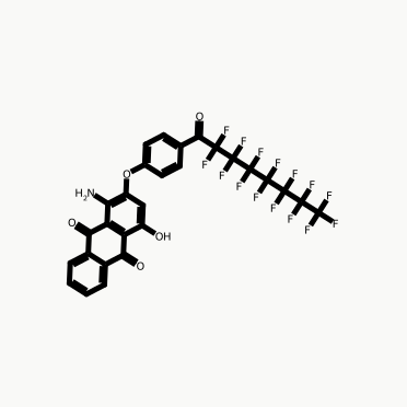 Nc1c(Oc2ccc(C(=O)C(F)(F)C(F)(F)C(F)(F)C(F)(F)C(F)(F)C(F)(F)C(F)(F)F)cc2)cc(O)c2c1C(=O)c1ccccc1C2=O